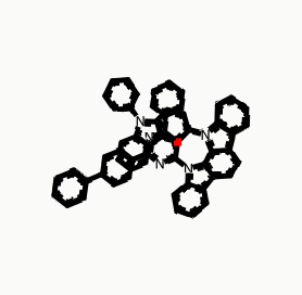 c1ccc(-c2ccc(-c3nc(-c4ccccc4)cc(-n4c5ccccc5c5ccc6c7ccccc7n(-c7ccc8c(c7)c7ccccc7n8-c7ccccc7)c6c54)n3)cc2)cc1